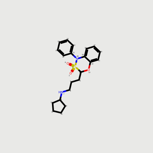 O=S1(=O)C(CCCNC2CCCC2)Oc2ccccc2N1c1ccccc1